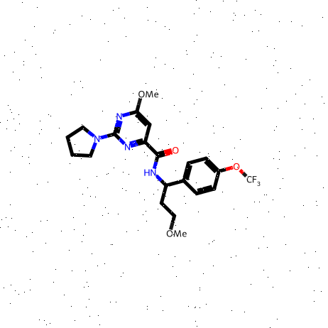 COCCC(NC(=O)c1cc(OC)nc(N2CCCC2)n1)c1ccc(OC(F)(F)F)cc1